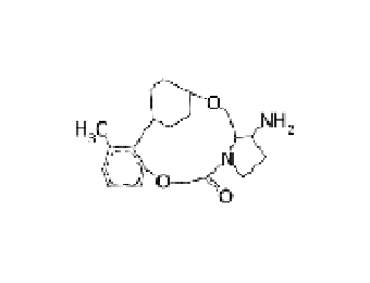 Cc1cccc2c1C1CCC(CC1)OCC1C(N)CCN1C(=O)CO2